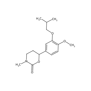 COc1ccc(C2CCN(C)C(=O)O2)cc1OCC(C)C